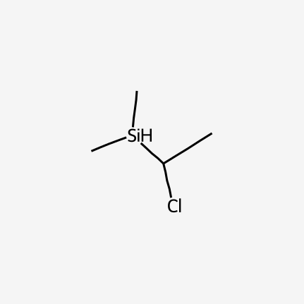 CC(Cl)[SiH](C)C